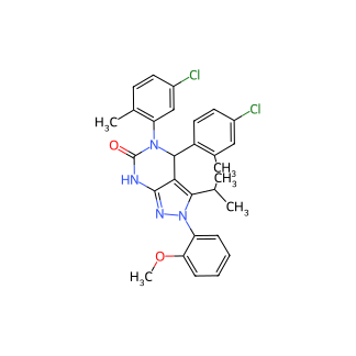 COc1ccccc1-n1nc2c(c1C(C)C)C(c1ccc(Cl)cc1C)N(c1cc(Cl)ccc1C)C(=O)N2